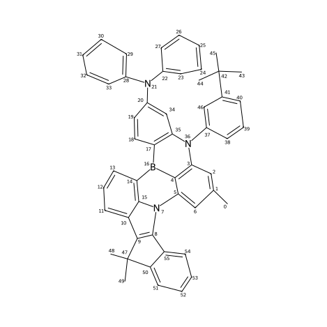 Cc1cc2c3c(c1)-n1c4c(c5cccc(c51)B3c1ccc(N(c3ccccc3)c3ccccc3)cc1N2c1cccc(C(C)(C)C)c1)C(C)(C)c1ccccc1-4